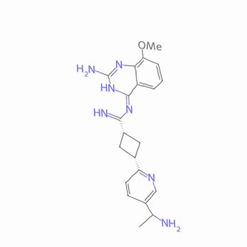 COc1cccc2/c(=N/C(=N)[C@H]3C[C@@H](c4ccc(C(C)N)cn4)C3)[nH]c(N)nc12